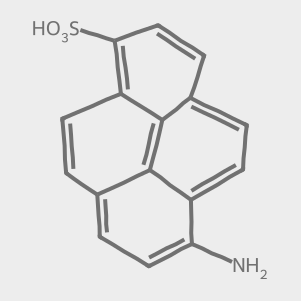 Nc1ccc2ccc3c(S(=O)(=O)O)ccc4ccc1c2c43